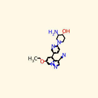 CCOc1cc(-c2ccc(N3CC[C@@H](O)[C@H](N)C3)nc2)c2c(C#N)cnn2c1